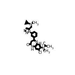 CC(C)N(C)c1cc2c(cc1Cl)NC(=O)CC(c1cccc(-n3nncc3CN(C)C3CC3)c1)=N2